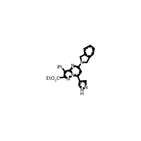 CCOC(=O)c1nn2c(-c3cn[nH]c3)cc(N3Cc4ccccc4C3)nc2c1C(C)C